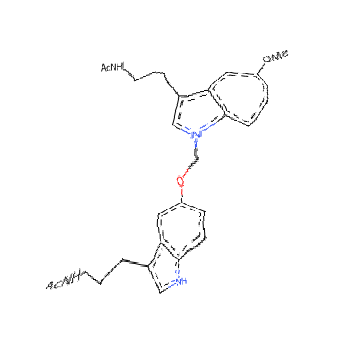 COc1ccc2c(c1)c(CCNC(C)=O)cn2COc1ccc2[nH]cc(CCNC(C)=O)c2c1